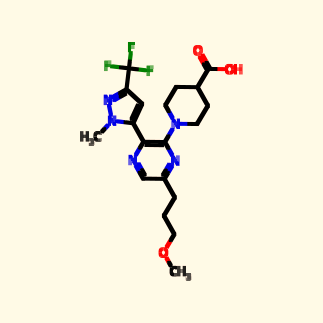 COCCCc1cnc(-c2cc(C(F)(F)F)nn2C)c(N2CCC(C(=O)O)CC2)n1